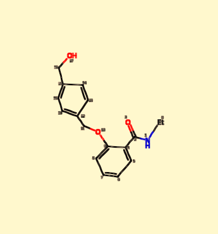 CCNC(=O)c1ccccc1OCc1ccc(CO)cc1